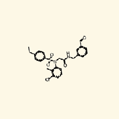 CCc1ccc(S(=O)(=O)N(CC(=O)NCc2cccc(C=O)c2)c2cccc(Cl)c2C)cc1